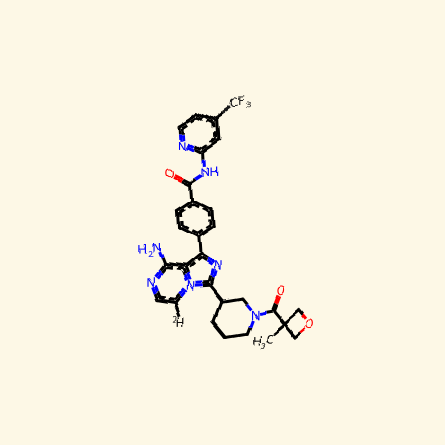 [2H]c1cnc(N)c2c(-c3ccc(C(=O)Nc4cc(C(F)(F)F)ccn4)cc3)nc(C3CCCN(C(=O)C4(C)COC4)C3)n12